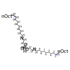 CCCCCCCC/C=C\CCCCCCCCN=CCO[PH](=O)OCC=NCCCCCCCC/C=C\CCCCCCCC